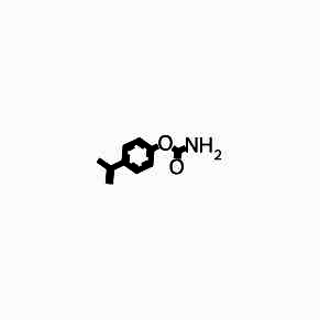 C=C(C)c1ccc(OC(N)=O)cc1